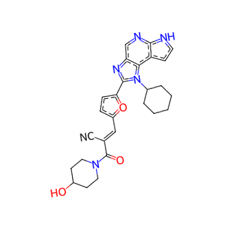 N#C/C(=C\c1ccc(-c2nc3cnc4[nH]ccc4c3n2C2CCCCC2)o1)C(=O)N1CCC(O)CC1